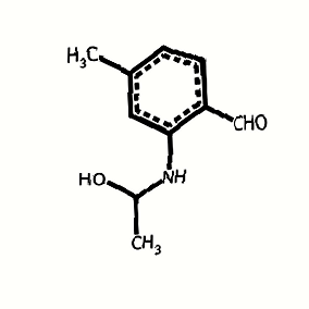 Cc1ccc(C=O)c(NC(C)O)c1